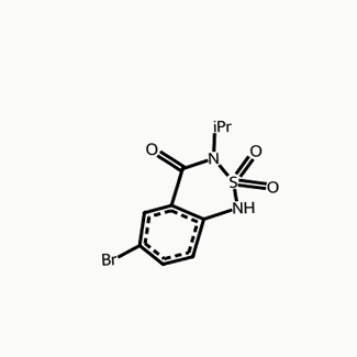 CC(C)N1C(=O)c2cc(Br)ccc2NS1(=O)=O